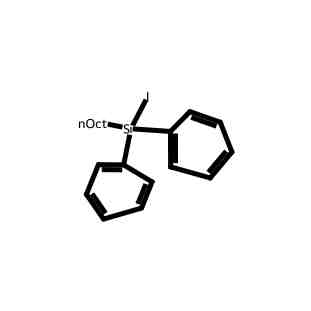 CCCCCCCC[Si](I)(c1ccccc1)c1ccccc1